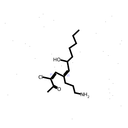 CCCCCC(O)/C=C(\C=C(\Cl)C(C)=O)CCCN